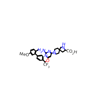 COc1ccc(C)c(-c2ccc([C@@H](Oc3cc(N4CCC5(CC4)CNC(C(=O)O)C5)nc(N)n3)C(F)(F)F)cc2)c1